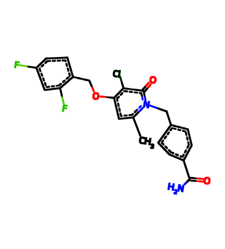 Cc1cc(OCc2ccc(F)cc2F)c(Cl)c(=O)n1Cc1ccc(C(N)=O)cc1